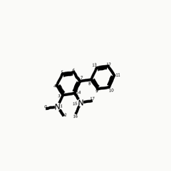 CN(C)c1cccc(-c2ccccc2)c1N(C)C